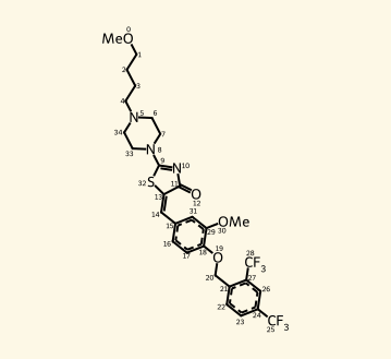 COCCCCN1CCN(C2=NC(=O)/C(=C\c3ccc(OCc4ccc(C(F)(F)F)cc4C(F)(F)F)c(OC)c3)S2)CC1